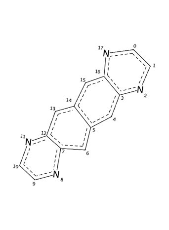 c1cnc2cc3cc4nccnc4cc3cc2n1